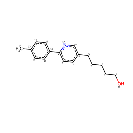 OCCCCCc1ccc(-c2ccc(C(F)(F)F)cc2)nc1